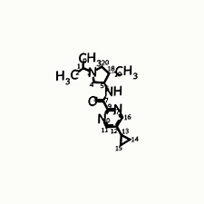 CC(C)N1C[C@H](NC(=O)c2ncc(C3CC3)cn2)[C@@H](C)C1